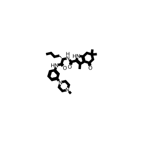 CCCC[C@H](NC(=O)c1[nH]c2c(c1C)C(=O)CC(C)(C)C2)C(=O)Nc1cccc(N2CCN(C)CC2)c1